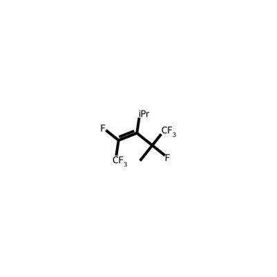 CC(C)C(=C(F)C(F)(F)F)C(C)(F)C(F)(F)F